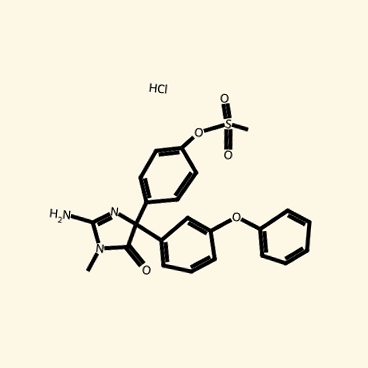 CN1C(=O)C(c2ccc(OS(C)(=O)=O)cc2)(c2cccc(Oc3ccccc3)c2)N=C1N.Cl